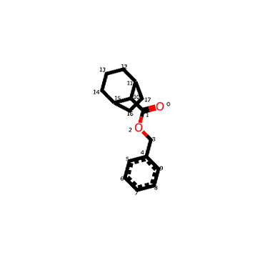 O=C(OCc1ccccc1)C1C2CCCC1CC2